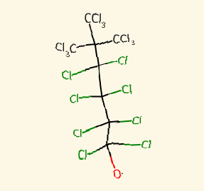 [O]C(Cl)(Cl)C(Cl)(Cl)C(Cl)(Cl)C(Cl)(Cl)C(C(Cl)(Cl)Cl)(C(Cl)(Cl)Cl)C(Cl)(Cl)Cl